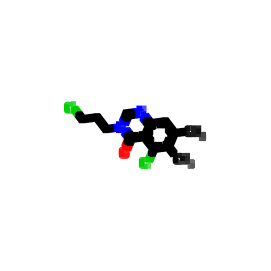 Cc1cc2ncn(CCCCl)c(=O)c2c(Cl)c1C